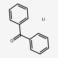 O=C(c1ccccc1)c1ccccc1.[Li]